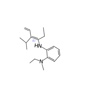 C=C/C(=C(\CC)Nc1ccccc1N(C)CC)C(C)C